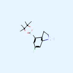 CC1(C)OB(c2cc(F)cc3c2CCN3)OC1(C)C